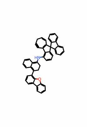 C1#CC2=C(C=CC1)C1(c3ccccc3-c3ccccc31)c1cccc(NC3=c4ccccc4=C(c4cccc5c4oc4ccccc45)CC3)c12